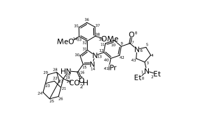 CCN(CC)C1CCN(C(=O)c2ccc(-n3nc(C(=O)NC4(C(=O)O)C5CC6CC(C5)CC4C6)cc3-c3c(OC)cccc3OC)c(C(C)C)c2)C1